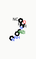 Cl.Cl.N#Cc1ccc2c(c1)[C@@H]1CN(CCC3CCC(Nc4ccccn4)CC3)C[C@H]1CO2